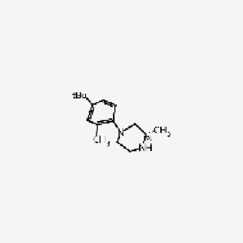 Cc1cc(C(C)(C)C)ccc1N1CCN[C@@H](C)C1